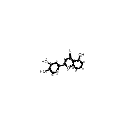 O=c1cc(-c2cc(O)c(O)cn2)oc2cccc(O)c12